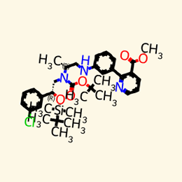 COC(=O)c1cccnc1-c1cccc(NC[C@@H](C)N(C[C@H](O[Si](C)(C)C(C)(C)C)c2cccc(Cl)c2)C(=O)OC(C)(C)C)c1